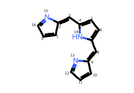 C1=CC(=Cc2ccc(C=C3C=CC=N3)[nH]2)N=C1